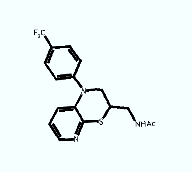 CC(=O)NCC1CN(c2ccc(C(F)(F)F)cc2)c2cccnc2S1